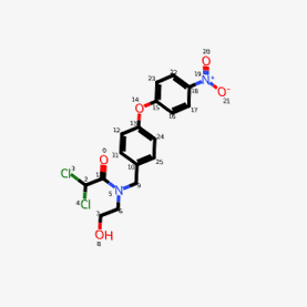 O=C(C(Cl)Cl)N(CCO)Cc1ccc(Oc2ccc([N+](=O)[O-])cc2)cc1